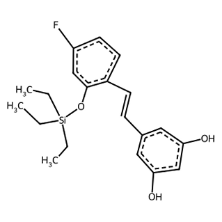 CC[Si](CC)(CC)Oc1cc(F)ccc1C=Cc1cc(O)cc(O)c1